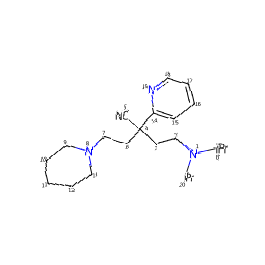 CC(C)N(CCC(C#N)(CCN1CCCCC1)c1ccccn1)C(C)C